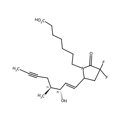 CC#CC[C@H](C)[C@@H](O)C=CC1CC(F)(F)C(=O)N1CCCCCCC(=O)O